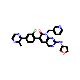 Cc1nccnc1-c1ccc(-c2cc3cnc(N[C@@H]4CCOC4)nc3n(Cc3cccnc3)c2=O)c(Cl)c1